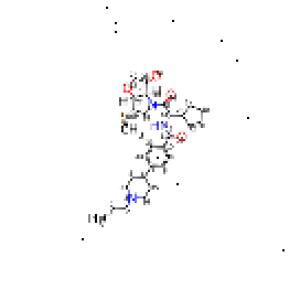 CCCN1CCC(c2ccc(C(=O)N[C@H](C(=O)N3C[C@H](SC)[C@H]4OCC(=O)[C@H]43)C3CCCC3)cc2)CC1